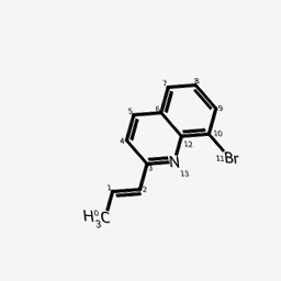 CC=Cc1ccc2cccc(Br)c2n1